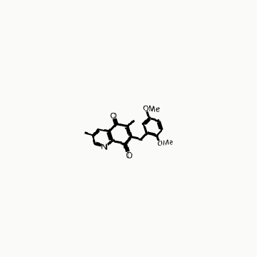 COc1ccc(OC)c(CC2=C(C)C(=O)c3cc(C)cnc3C2=O)c1